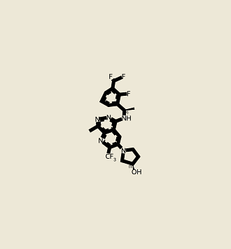 Cc1nnc(N[C@H](C)c2cccc(C(F)F)c2F)c2cc(N3CC[C@H](O)C3)c(C(F)(F)F)nc12